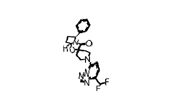 O=C1N2[C@@H](CC[C@H]2c2ccccc2)OC12CCN(c1ccc(C(F)F)c3ncnn13)CC2